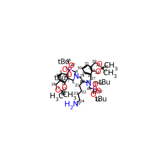 CC(C)(C)OP(=O)(CN(Cc1cccc2c1OC(C)(C)OC2)C[C@H](CCCCN)N(Cc1cccc2c1OC(C)(C)OC2)CP(=O)(OC(C)(C)C)OC(C)(C)C)OC(C)(C)C